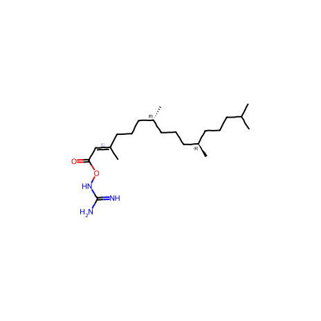 C/C(=C\C(=O)ONC(=N)N)CCC[C@H](C)CCC[C@H](C)CCCC(C)C